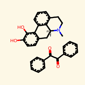 CN1CCc2cccc3c2[C@H]1Cc1ccc(O)c(O)c1-3.O=C(C(=O)c1ccccc1)c1ccccc1